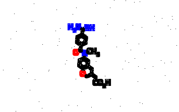 CN(C(=O)c1ccc(C(=N)N)cc1)c1ccc2c(c1)CC(CC(=O)O)CO2